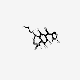 CCn1ncc(C(=O)c2cc(C)c3c(c2C)C(OCCF)CCS3(=O)=O)c1O